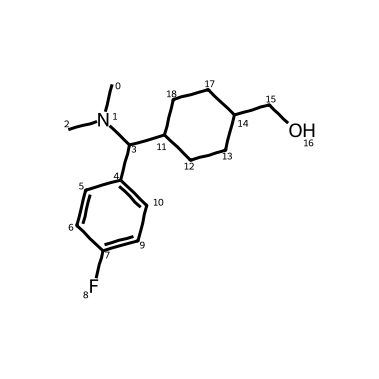 CN(C)C(c1ccc(F)cc1)C1CCC(CO)CC1